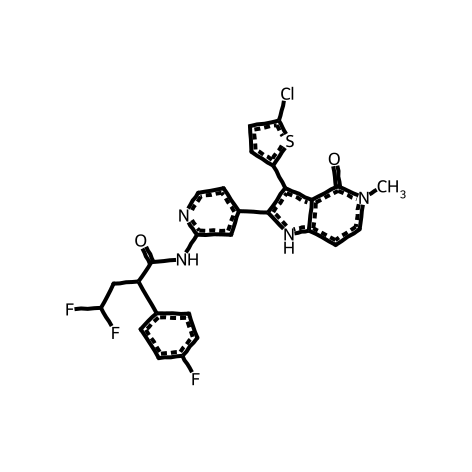 Cn1ccc2[nH]c(-c3ccnc(NC(=O)C(CC(F)F)c4ccc(F)cc4)c3)c(-c3ccc(Cl)s3)c2c1=O